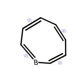 B1=C\C=C/C=C\C=C/1